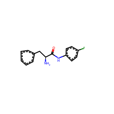 N[C@@H](Cc1ccccc1)C(=O)Nc1ccc(F)cc1